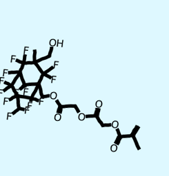 C=C(C)C(=O)OCC(=O)OCC(=O)OCC12C(F)(F)C(C)(CO)C(F)(F)C(F)(C(F)(F)C(F)(C(F)F)C1(F)F)C2(F)F